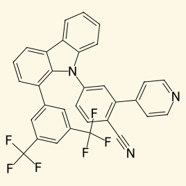 N#Cc1ccc(-n2c3ccccc3c3cccc(-c4cc(C(F)(F)F)cc(C(F)(F)F)c4)c32)cc1-c1ccncc1